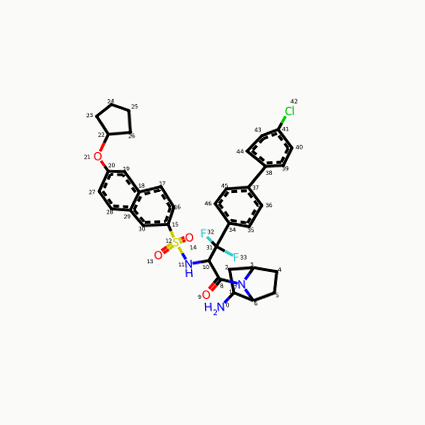 NC1CC2CCC1N2C(=O)C(NS(=O)(=O)c1ccc2cc(OC3CCCC3)ccc2c1)C(F)(F)c1ccc(-c2ccc(Cl)cc2)cc1